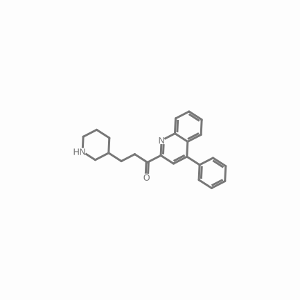 O=C(CCC1CCCNC1)c1cc(-c2ccccc2)c2ccccc2n1